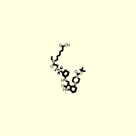 CCN(CCCCCC(=O)O)C(=O)CN(C)S(=O)(=O)c1cccc(N/C=C2\C(=O)Nc3cccc(N4CCN(C(=O)OC(C)(C)C)CC4)c32)c1